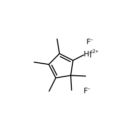 CC1=C(C)C(C)(C)[C]([Hf+2])=C1C.[F-].[F-]